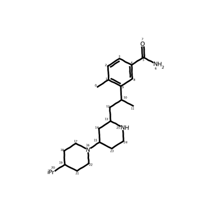 Cc1ccc(C(N)=O)cc1C(C)CC1CC(N2CCC(C(C)C)CC2)CCN1